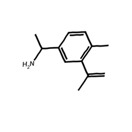 C=C(C)c1cc(C(C)N)ccc1C